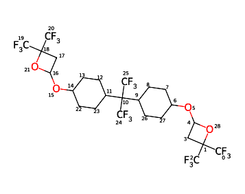 FC(F)(F)C1(C(F)(F)F)CC(OC2CCC(C(C3CCC(OC4CC(C(F)(F)F)(C(F)(F)F)O4)CC3)(C(F)(F)F)C(F)(F)F)CC2)O1